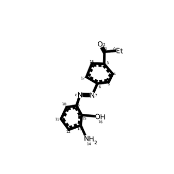 CCC(=O)c1ccc(N=Nc2cccc(N)c2O)cc1